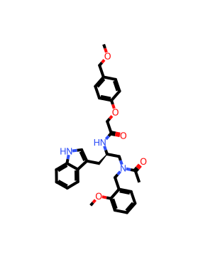 COCc1ccc(OCC(=O)N[C@H](Cc2c[nH]c3ccccc23)CN(Cc2ccccc2OC)C(C)=O)cc1